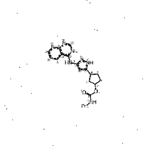 CC(C)NC(=O)OC1CCC(c2cc(Nc3ncnc4ncccc34)n[nH]2)C1